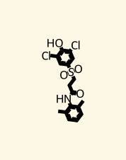 Cc1cccc(C)c1NC(=O)CCS(=O)(=O)c1cc(Cl)c(O)c(Cl)c1